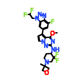 COc1nc(N[C@@H]2CCN(C3(C)COC3)CC2(F)F)nn2ccc(-c3cc(F)c4nnn(CC(F)F)c4c3)c12